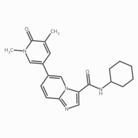 Cc1cc(-c2ccc3ncc(C(=O)NC4CCCCC4)n3c2)cn(C)c1=O